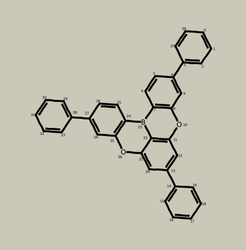 c1ccc(-c2ccc3c(c2)Oc2cc(-c4ccccc4)cc4c2B3c2ccc(-c3ccccc3)cc2O4)cc1